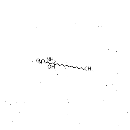 CCCCCCCCCCCCC/C=C/C(O)C(N)CON=O